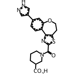 O=C(O)C1CCCN(C(=O)c2nc3c(s2)CCOc2cc(-c4cn[nH]c4)ccc2-3)C1